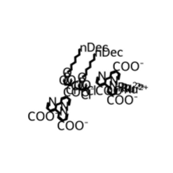 CCCCCCCCCCCCCCCCOP1OCC(Cl)(Cl)O1.CCCCCCCCCCCCCCCCOP1OCC(Cl)(Cl)O1.O=C([O-])c1ccnc(-c2nccc(C(=O)[O-])c2-c2cc(C(=O)[O-])ccn2)c1.O=C([O-])c1ccnc(-c2nccc(C(=O)[O-])c2-c2cc(C(=O)[O-])ccn2)c1.[Ru+2].[Ru+2].[Ru+2]